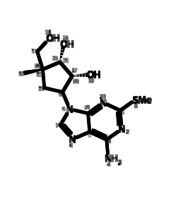 CSc1nc(N)c2ncn(C3C[C@](C)(CO)[C@H](O)[C@@H]3O)c2n1